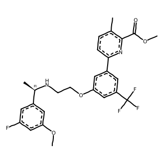 COC(=O)c1nc(-c2cc(OCCN[C@H](C)c3cc(F)cc(OC)c3)cc(C(F)(F)F)c2)ccc1C